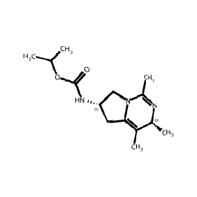 CC1=N[C@@H](C)C(C)=C2C[C@H](NC(=O)OC(C)C)CN12